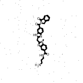 Cn1c(Cc2nc3ccc(C(=O)N4Cc5ccccc5C4=O)cc3[nH]2)nc2cc(C(=O)NCCCN)ccc21